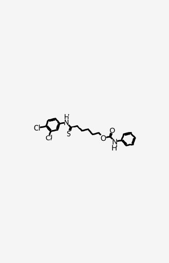 O=C(Nc1ccccc1)OCCCCCC(=S)Nc1ccc(Cl)c(Cl)c1